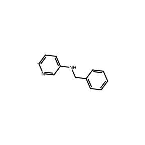 [c]1ccc(NCc2ccccc2)cn1